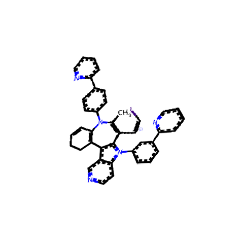 CC1=C(/C=C\I)c2c(c3cnccc3n2-c2cccc(-c3ccccn3)c2)C2=C(C=CCC2)N1c1ccc(-c2ccccn2)cc1